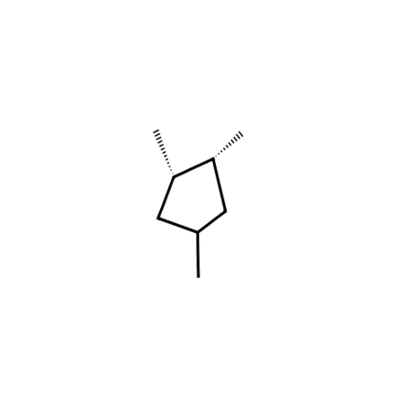 CC1C[C@@H](C)[C@@H](C)C1